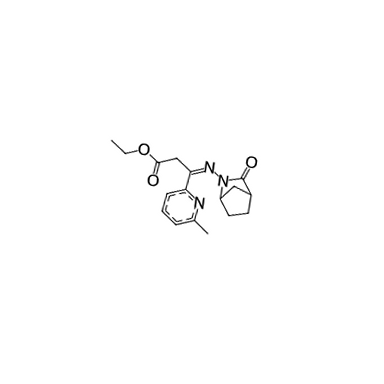 CCOC(=O)C/C(=N/N1C(=O)C2CCC1C2)c1cccc(C)n1